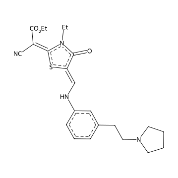 CCOC(=O)C(C#N)=c1sc(=CNc2cccc(CCN3CCCC3)c2)c(=O)n1CC